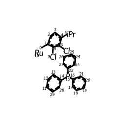 Cc1ccc(C(C)C)c(Cl)c1Cl.[Ru].c1ccc(P(c2ccccc2)c2ccccc2)cc1